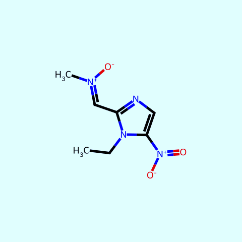 CCn1c([N+](=O)[O-])cnc1C=[N+](C)[O-]